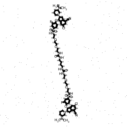 CN(C)[C@@H]1CCCN([C@H]2Cc3c(C#N)cc(Cl)cc3[C@@H]2Oc2ccc(S(=O)(=O)NCCOCCOCCNC(=O)NCCCCNC(=O)NCCOCCOCCNS(=O)(=O)c3ccc(O[C@H]4c5cc(Cl)cc(C#N)c5C[C@@H]4N4CCC[C@@H](N(C)C)C4)c(F)c3)cc2F)C1